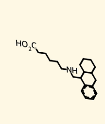 O=C(O)CCCCCNCC1c2ccccc2CC2CCCCC21